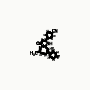 CC1=NN2C(=O)C=C(c3ccc(C#N)cc3)NC2C=C(c2ccc(F)cc2F)C=C1